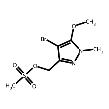 COc1c(Br)c(COS(C)(=O)=O)nn1C